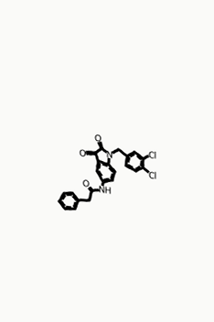 O=C(Cc1ccccc1)Nc1ccc2c(c1)C(=O)C(=O)N2Cc1ccc(Cl)c(Cl)c1